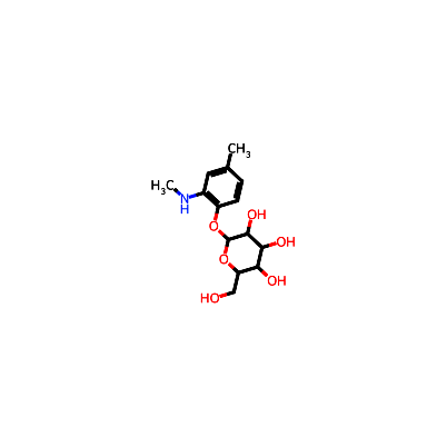 CNc1cc(C)ccc1OC1OC(CO)C(O)C(O)C1O